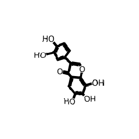 O=c1c(-c2ccc(O)c(O)c2)coc2c(O)c(O)c(O)cc12